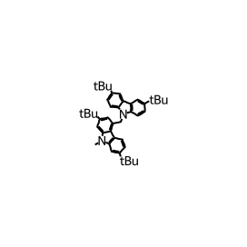 Cn1c2cc(C(C)(C)C)ccc2c2c(Cn3c4ccc(C(C)(C)C)cc4c4cc(C(C)(C)C)ccc43)cc(C(C)(C)C)cc21